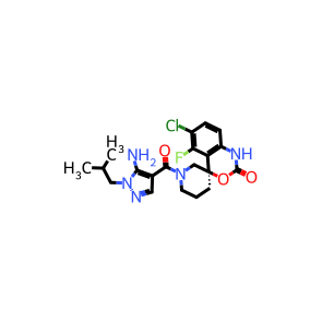 CC(C)Cn1ncc(C(=O)N2CCC[C@@]3(C2)OC(=O)Nc2ccc(Cl)c(F)c23)c1N